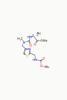 CC[C@H](C)[C@H](NC(=O)N(C)Cc1csc(CNC(=O)OC(C)(C)C)n1)C(=O)OC